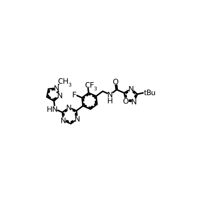 Cn1ccc(Nc2ncnc(-c3ccc(CNC(=O)c4nc(C(C)(C)C)no4)c(C(F)(F)F)c3F)n2)n1